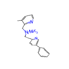 Cc1cccnc1CN(N)Cc1ccc(-c2ccccc2)cn1